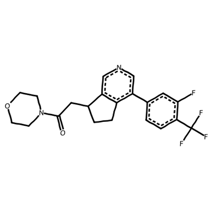 O=C(CC1CCc2c(-c3ccc(C(F)(F)F)c(F)c3)cncc21)N1CCOCC1